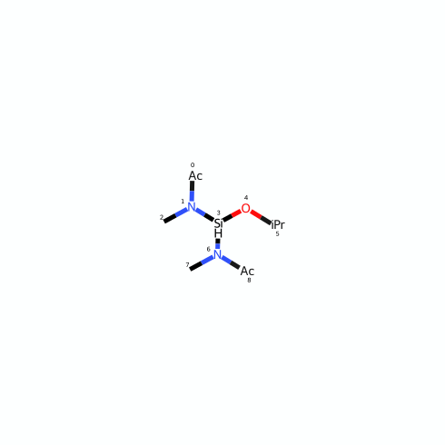 CC(=O)N(C)[SiH](OC(C)C)N(C)C(C)=O